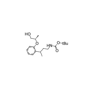 CC(CCNC(=O)OC(C)(C)C)c1ccccc1O[C@H](C)CO